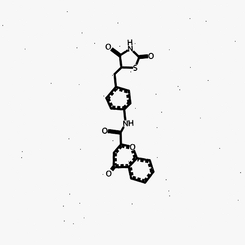 O=C1NC(=O)C(Cc2ccc(NC(=O)c3cc(=O)c4ccccc4o3)cc2)S1